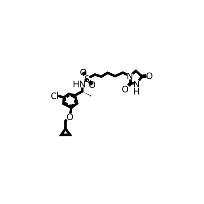 C[C@@H](NS(=O)(=O)CCCCCN1CC(=O)NC1=O)c1cc(Cl)cc(OCC2CC2)c1